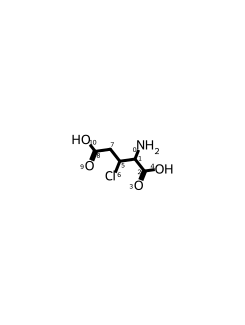 NC(C(=O)O)C(Cl)CC(=O)O